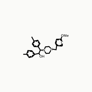 COc1ccc(CN2CCN(C(c3ccc(C)cc3)C(O)c3ccc(C)cc3)CC2)cc1